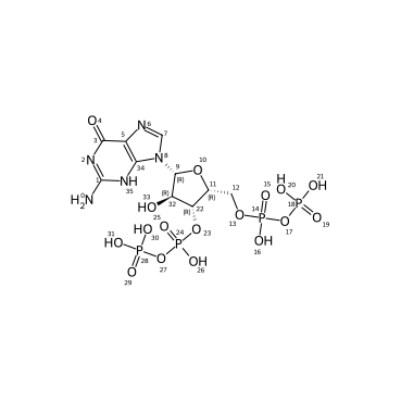 Nc1nc(=O)c2ncn([C@@H]3O[C@H](COP(=O)(O)OP(=O)(O)O)[C@H](OP(=O)(O)OP(=O)(O)O)[C@H]3O)c2[nH]1